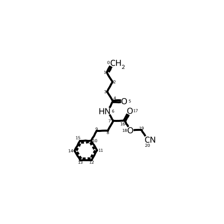 C=CCCC(=O)NC(CCc1ccccc1)C(=O)OCC#N